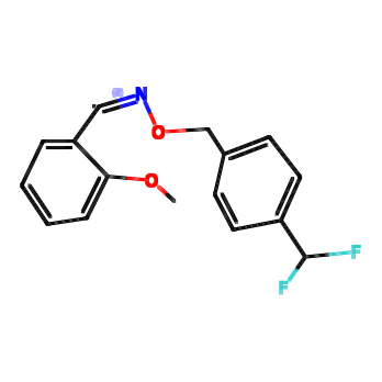 COc1ccccc1/[C]=N\OCc1ccc(C(F)F)cc1